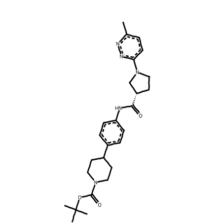 Cc1ccc(N2CC[C@H](C(=O)Nc3ccc(C4CCN(C(=O)OC(C)(C)C)CC4)cc3)C2)nn1